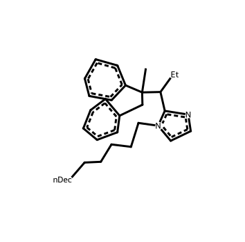 CCCCCCCCCCCCCCCn1ccnc1C(CC)C(C)(Cc1ccccc1)c1ccccc1